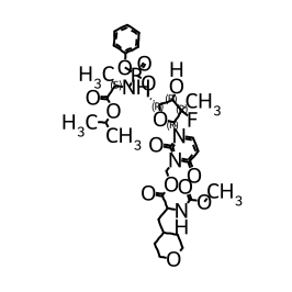 COC(=O)NC(CC1CCOCC1)C(=O)OCn1c(=O)ccn([C@@H]2O[C@H](COP(=O)(N[C@@H](C)C(=O)OC(C)C)Oc3ccccc3)[C@@H](O)[C@@]2(C)F)c1=O